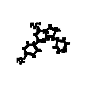 FC(F)(F)c1ccc(-c2cc(C(F)(F)F)n3cnc(-c4ccncc4)c3n2)cc1